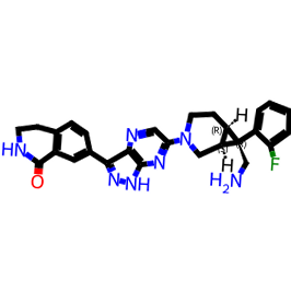 NC[C@]1(c2ccccc2F)[C@@H]2CCN(c3cnc4c(-c5ccc6c(c5)C(=O)NCC6)n[nH]c4n3)C[C@@H]21